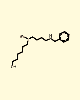 CC(C)N(CCCCCCO)CCCCNCc1ccccc1